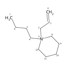 C=CC[N+]1(CCCC)CCCCC1